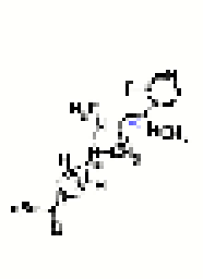 C=N/C(=C\C(=O)N(C)CN(C)[C@H]1[C@@H]2CN(C(=O)CCCC)C[C@@H]21)c1ccncc1F